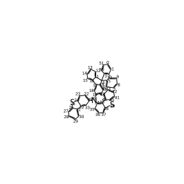 c1ccc(C2(c3ccccc3)c3ccccc3-c3cc(N(c4ccc5sc6ccccc6c5c4)c4cccc5sc6ccccc6c45)ccc32)cc1